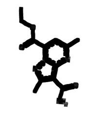 CCOC(=O)c1cc(C)nc2c(C(N)=O)c(C)nn12